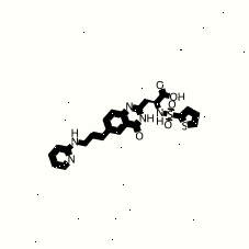 O=C(O)[C@H](Cc1nc2ccc(/C=C/CNc3ccccn3)cc2c(=O)[nH]1)NS(=O)(=O)c1cccs1